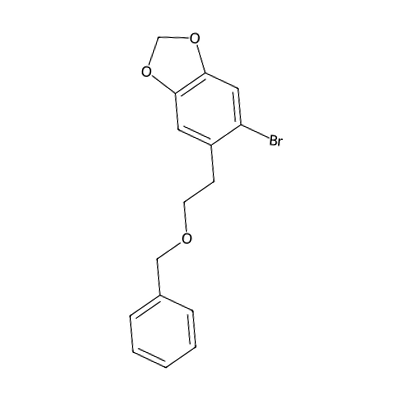 Brc1cc2c(cc1CCOCc1ccccc1)OCO2